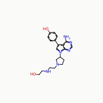 Nc1ncnc2c1c(-c1ccc(O)cc1)cn2C1CCN(CCNCCO)C1